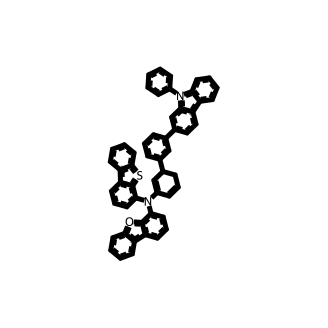 C1=CC(N(c2cccc3c2oc2ccccc23)c2cccc3c2sc2ccccc23)=CC(c2cccc(-c3ccc4c5ccccc5n(-c5ccccc5)c4c3)c2)C1